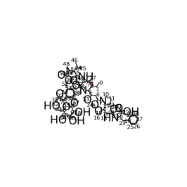 CCC(C)[C@@H]([C@@H](CC(=O)N1CCC[C@H]1[C@H](OC)[C@@H](C)C(=O)NC(Cc1ccccc1)C(=O)O)OC)N(C)C(=O)[C@@H](NC(=O)[C@H](C(C)C)N(C)C(=O)OCc1ccc(O[C@@H]2O[C@H](CO)[C@H](O)[C@H](O)[C@H]2O)c2cc(C)oc12)C(C)C